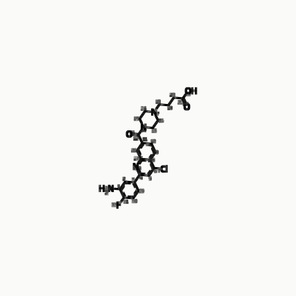 Nc1cc(-c2cc(Cl)c3ccc(C(=O)N4CCN(CCCC(=O)O)CC4)cc3n2)ccc1F